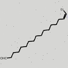 CC/C=C\CCCCCCCCCCCCCCC=O